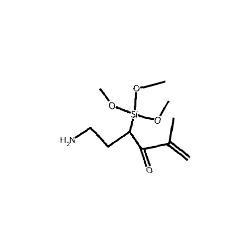 C=C(C)C(=O)C(CCN)[Si](OC)(OC)OC